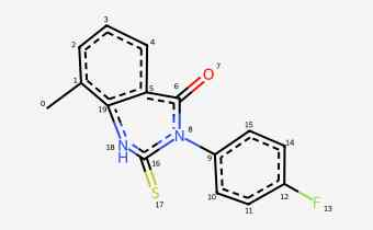 Cc1cccc2c(=O)n(-c3ccc(F)cc3)c(=S)[nH]c12